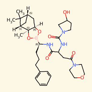 CC1(C)[C@@H]2C[C@H]3OB([C@H](CCCc4ccccc4)NC(=O)C(CC(=O)N4CCOCC4)NC(=O)N4CCC(O)C4)O[C@@]3(C)[C@H]1C2